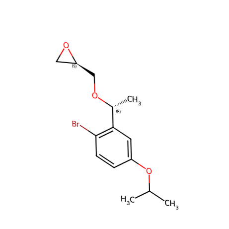 CC(C)Oc1ccc(Br)c([C@@H](C)OC[C@H]2CO2)c1